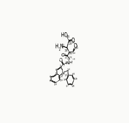 C[C@H](NC(=O)c1cc2ccccc2n1Cc1ccccc1)C(=O)[C@H](C=O)C(N)C(=O)O